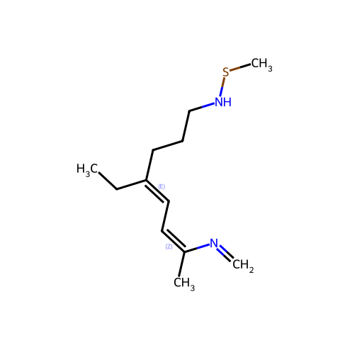 C=N/C(C)=C\C=C(/CC)CCCNSC